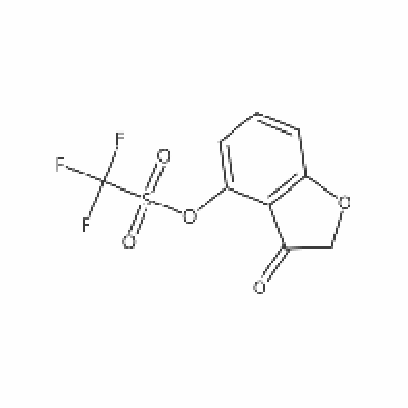 O=C1COc2cccc(OS(=O)(=O)C(F)(F)F)c21